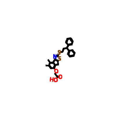 Cc1cc(OCC(=O)O)c2c(c1C)-c1nc(SCCC(c3ccccc3)c3ccccc3)sc1C2